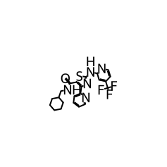 O=C(NCC1CCCCC1)c1sc(Nc2cc(C(F)(F)F)ccn2)nc1-c1ccccn1